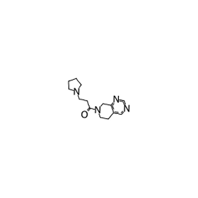 O=C(CCN1CCCC1)N1CCc2cncnc2C1